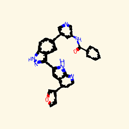 O=C(Nc1cncc(-c2ccc3[nH]nc(-c4cc5c(-c6ccoc6)ccnc5[nH]4)c3c2)c1)c1ccccc1